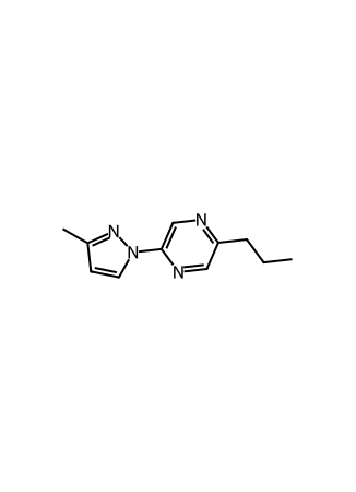 CCCc1cnc(-n2ccc(C)n2)cn1